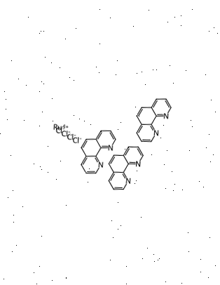 [Cl-].[Cl-].[Cl-].[Cl-].[Ru+4].c1cnc2c(c1)ccc1cccnc12.c1cnc2c(c1)ccc1cccnc12.c1cnc2c(c1)ccc1cccnc12